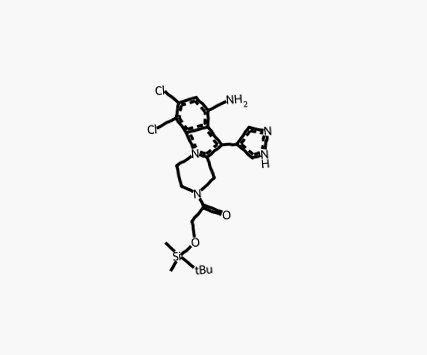 CC(C)(C)[Si](C)(C)OCC(=O)N1CCn2c(c(-c3cn[nH]c3)c3c(N)cc(Cl)c(Cl)c32)C1